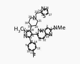 CNc1cn2nc(-c3c(-c4ccc(F)cc4)nn(C)c3C3CCN(Cc4nccs4)CC3)ccc2n1